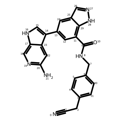 N#CCc1ccc(CNC(=O)c2cc(-c3c[nH]c4cnc(N)cc34)cc3cn[nH]c23)cc1